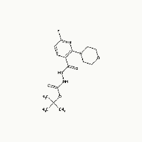 CC(C)(C)OC(=O)NNC(=O)c1ccc(F)nc1N1CCOCC1